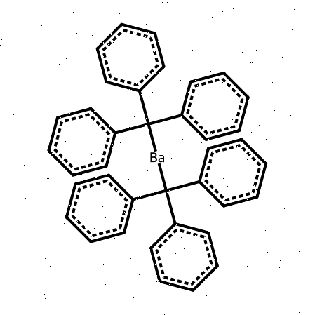 c1ccc([C]([Ba][C](c2ccccc2)(c2ccccc2)c2ccccc2)(c2ccccc2)c2ccccc2)cc1